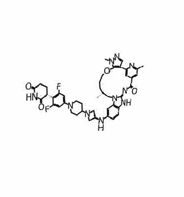 Cc1cc2cc(n1)-c1cnn(C)c1OCCC[C@@H](C)CN1/C(=N/C2=O)Nc2ccc(NC3CN(C4CCN(c5cc(F)c([C@H]6CCC(=O)NC6=O)c(F)c5)CC4)C3)cc21